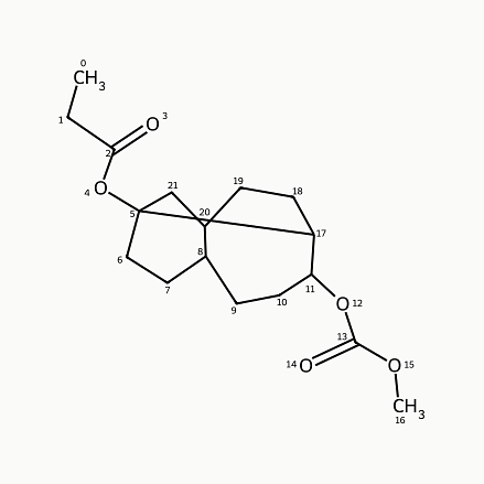 CCC(=O)OC12CCC3CCC(OC(=O)OC)C1CCC3C2